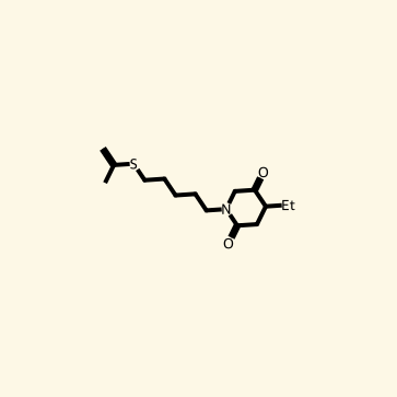 C=C(C)SCCCCCN1CC(=O)C(CC)CC1=O